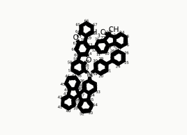 CC1(C)c2ccccc2-c2ccc(-c3c4oc5c(N(c6ccc(-c7ccccc7)cc6)c6ccc7c(c6)C6(c8ccccc8-c8ccccc86)c6ccccc6-7)cccc5c4cc4oc5ccccc5c34)cc21